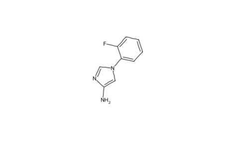 Nc1cn(-c2ccccc2F)cn1